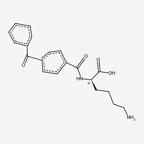 NCCCC[C@@H](NC(=O)c1ccc(C(=O)c2ccccc2)cc1)C(=O)O